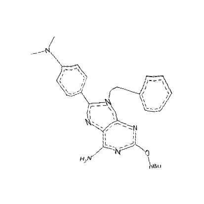 CCCCOc1nc(N)c2nc(-c3ccc(N(C)C)cc3)n(Cc3ccccc3)c2n1